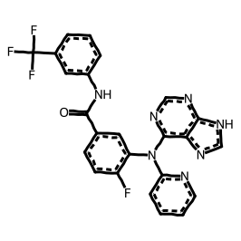 O=C(Nc1cccc(C(F)(F)F)c1)c1ccc(F)c(N(c2ccccn2)c2ncnc3[nH]cnc23)c1